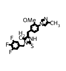 C=c1/c(=C/c2ccc(-n3cnc(C)c3)c(OC)c2)[nH]c(=S)n1Cc1cc(F)c(F)c(F)c1